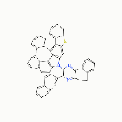 c1ccc2c(c1)-c1cccc3ccc4c(c13)c1c-2c2c(cc1n4-c1nc3c(ccc4ccccc43)nc1-c1ccc3ccccc3c1)sc1ccccc12